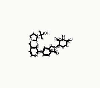 CC(C)(O)[C@@H]1CCN(Cc2ccnc(-c3ccc4c(c3)CN(C3CCC(=O)NC3=O)C4=O)c2F)C1